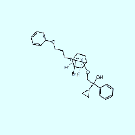 OC(CO[C@@H]1C2CC[N+](CCCOc3ccccc3)(CC2)[C@@H]1Br)(c1ccccc1)C1CC1